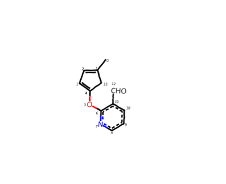 CC1=CC=C(Oc2ncccc2C=O)C1